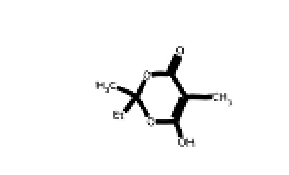 CCC1(C)OC(=O)C(C)=C(O)O1